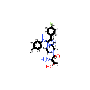 C/C(O)=C(/N)C(=O)N1CCn2c(nc(-c3ccc(F)cc3)c2Nc2ccc(C)cc2)C1